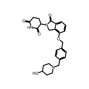 O=C1CCC(N2Cc3c(OCc4ccc(CN5CCC(O)CC5)cc4)cccc3C2=O)C(=O)N1